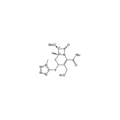 CO[C@H]1C(=O)N2C(C(=O)C(C)(C)C)=C(COC(C)=O)C(Sc3nnnn3C)S[C@H]12